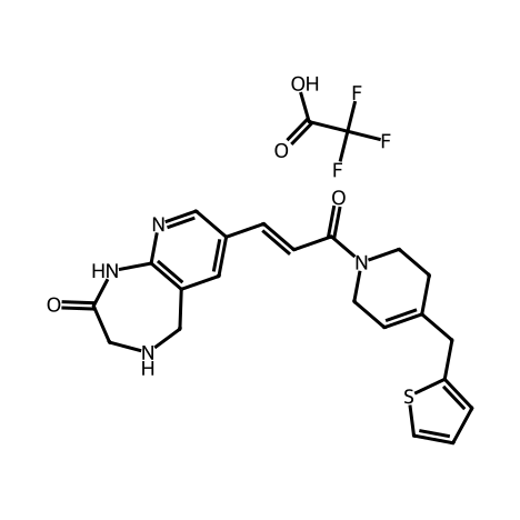 O=C(O)C(F)(F)F.O=C1CNCc2cc(C=CC(=O)N3CC=C(Cc4cccs4)CC3)cnc2N1